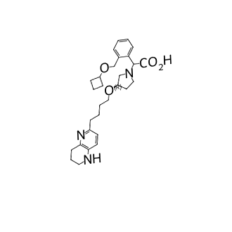 O=C(O)C(c1ccccc1COC1CCC1)N1CC[C@@H](OCCCCc2ccc3c(n2)CCCN3)C1